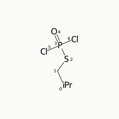 CC(C)CSP(=O)(Cl)Cl